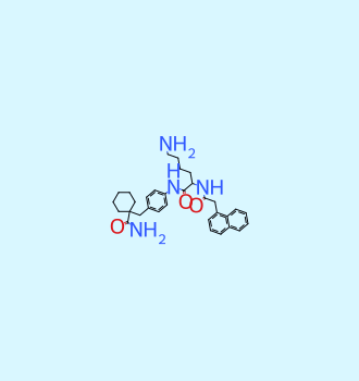 NCCCCC(NC(=O)Cc1cccc2ccccc12)C(=O)Nc1ccc(CC2(C(N)=O)CCCCC2)cc1